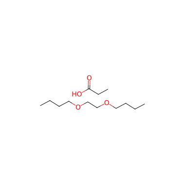 CCC(=O)O.CCCCOCCOCCCC